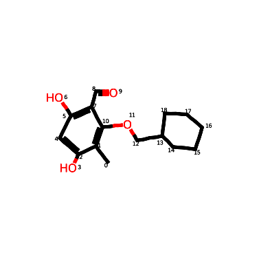 Cc1c(O)cc(O)c(C=O)c1OCC1CCCCC1